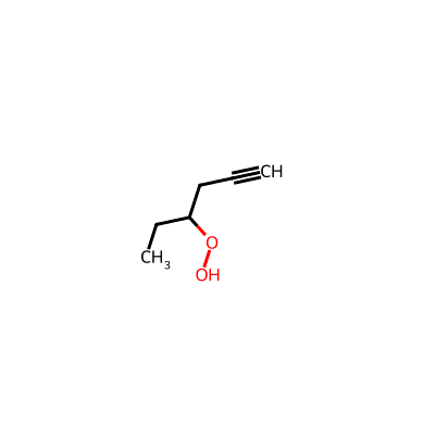 C#CCC(CC)OO